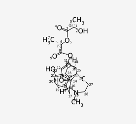 C[C@H](O)C(=O)O[C@@H](C)C(=O)OC1=CC[C@@]2(O)[C@H]3Cc4ccc(O)c5c4[C@@]2(CCCN3C)[C@H]1O5